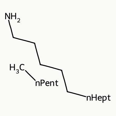 CCCCCC.CCCCCCCCCCCCN